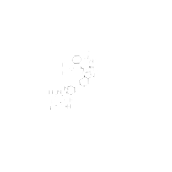 CN1C(=O)c2cccc(OC(F)F)c2[C@H]2C[C@@H]1c1nc3ccc(-c4cnc([C@]5(N)C[C@](O)(C(F)(F)F)C5)c(F)c4)cc3n12